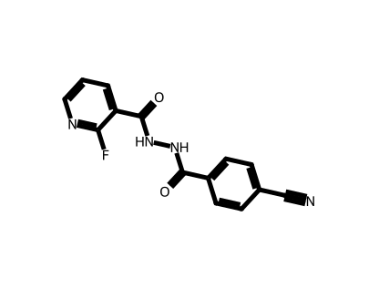 N#Cc1ccc(C(=O)NNC(=O)c2cccnc2F)cc1